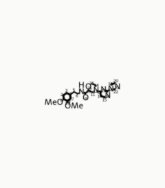 COc1ccc(CCNC(=O)C2CN(c3ccnc(-n4ccnc4)n3)CCO2)cc1OC